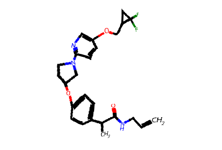 C=CCNC(=O)C(C)c1ccc(OC2CCN(c3ccc(OCC4CC4(F)F)cn3)C2)cc1